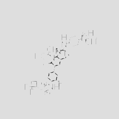 CC(C)n1c(=O)c(-c2ccc(NS(=O)(=O)CC3CCC3(F)F)c(F)c2)cc2cnc(NC3CCC(N(C)C)CC3)nc21